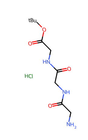 CC(C)(C)OC(=O)CNC(=O)CNC(=O)CN.Cl